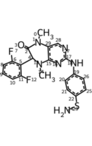 CN1C(=O)C(c2c(F)cccc2F)N(C)c2nc(Nc3ccc(SN)cc3)ncc21